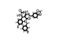 O=C1NC(CCc2ccc3c(c2)OCO3)=C(C(=O)OCc2cccc(F)c2)C(c2ccc(F)cc2)N1